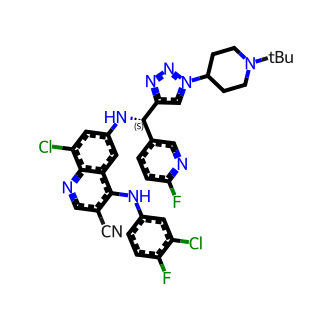 CC(C)(C)N1CCC(n2cc([C@@H](Nc3cc(Cl)c4ncc(C#N)c(Nc5ccc(F)c(Cl)c5)c4c3)c3ccc(F)nc3)nn2)CC1